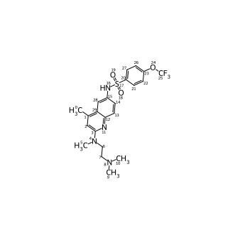 Cc1cc(N(C)CCN(C)C)nc2ccc(NS(=O)(=O)c3ccc(OC(F)(F)F)cc3)cc12